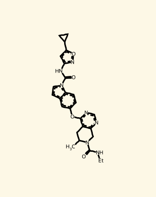 CCNC(=O)N1Cc2ncnc(Oc3ccc4c(ccn4C(=O)Nc4cc(C5CC5)on4)c3)c2CC1C